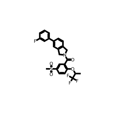 CC(Oc1ccc(S(C)(=O)=O)cc1C(=O)N1Cc2ccc(-c3cccc(F)c3)cc2C1)C(F)(F)F